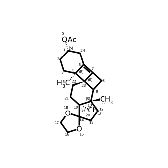 CC(=O)O[C@H]1CC[C@@]2(C)C(=C3CC4[C@]5(C)CCC6(OCCO6)[C@@]5(C)CC[C@@]342)C1